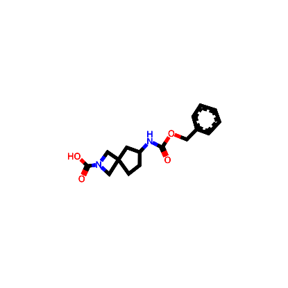 O=C(NC1CCC2(C1)CN(C(=O)O)C2)OCc1ccccc1